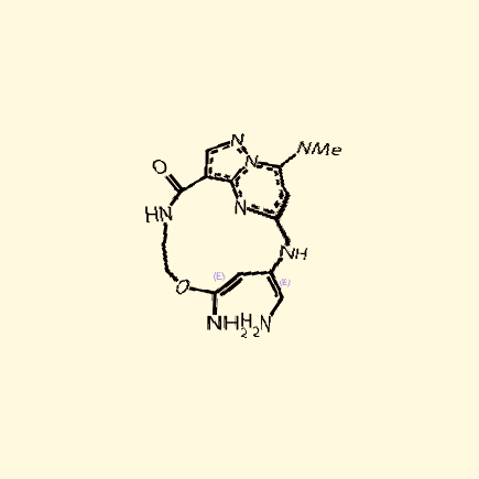 CNc1cc2nc3c(cnn13)C(=O)NCCO/C(N)=C/C(=C\N)N2